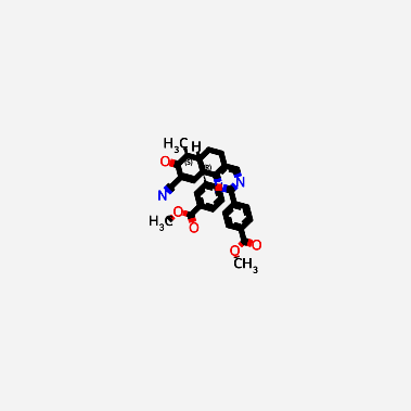 COC(=O)c1ccc(-c2ncc3c(n2)[C@@]2(c4cccc(C(=O)OC)c4)C=C(C#N)C(=O)[C@@H](C)[C@@H]2CC3)cc1